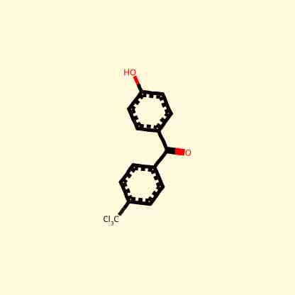 O=C(c1ccc(O)cc1)c1ccc(C(Cl)(Cl)Cl)cc1